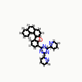 c1ccc(-c2nc(-c3ccccn3)nc(-c3cccc4c3oc3ccc5ccc6ccccc6c5c34)n2)nc1